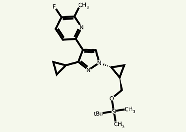 Cc1nc(-c2cn([C@@H]3C[C@H]3CO[Si](C)(C)C(C)(C)C)nc2C2CC2)ccc1F